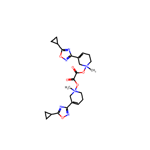 C[N+]1(OC(=O)C(=O)O[N+]2(C)CCC=C(c3noc(C4CC4)n3)C2)CCC=C(c2noc(C3CC3)n2)C1